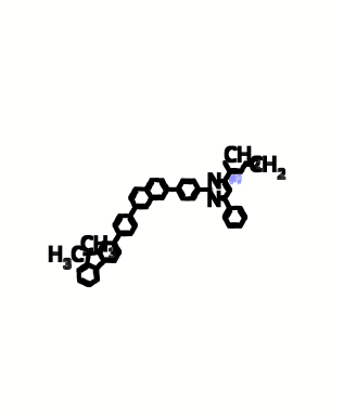 C=C/C=C(\C=C)c1cc(-c2ccccc2)nc(-c2ccc(-c3ccc4ccc(-c5ccc(-c6ccc7c(c6)C(C)(C)c6ccccc6-7)cc5)cc4c3)cc2)n1